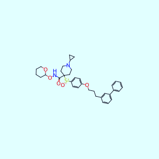 O=C(NOC1CCCCO1)C1([S+]([O-])c2ccc(OCCCc3cccc(-c4ccccc4)c3)cc2)CCN(C2CC2)CC1